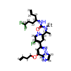 C=CCCOc1cc(-c2cc(C(C)N(CC)C(=O)NC(CC=C)CCC(F)F)ncc2F)nn2ccnc12